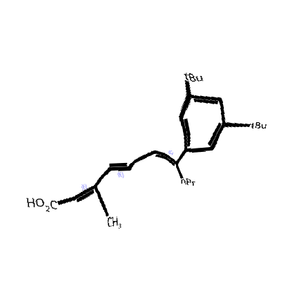 CCC\C(=C/C=C/C(C)=C/C(=O)O)c1cc(C(C)(C)C)cc(C(C)(C)C)c1